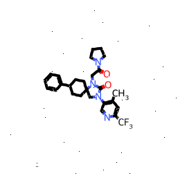 Cc1cc(C(F)(F)F)ncc1N1CC2(CCC(c3ccccc3)CC2)N(CC(=O)N2CCCC2)C1=O